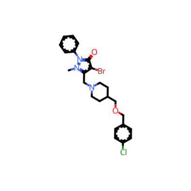 Cn1c(CN2CCC(COCc3ccc(Cl)cc3)CC2)c(Br)c(=O)n1-c1ccccc1